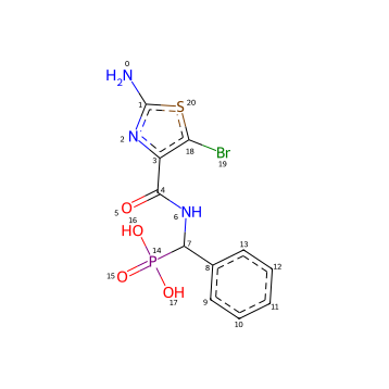 Nc1nc(C(=O)NC(c2ccccc2)P(=O)(O)O)c(Br)s1